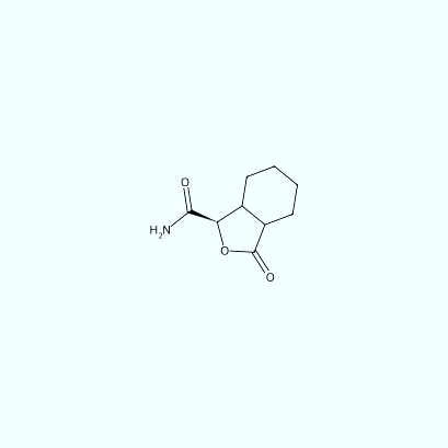 NC(=O)[C@@H]1OC(=O)C2CCCCC21